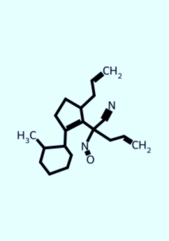 C=CCC1CCC(C2CCCCC2C)=C1C(C#N)(CC=C)N=O